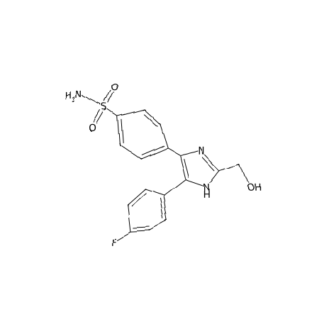 NS(=O)(=O)c1ccc(-c2nc(CO)[nH]c2-c2ccc(F)cc2)cc1